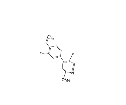 C=Cc1ccc(-c2cc(OC)ncc2F)cc1F